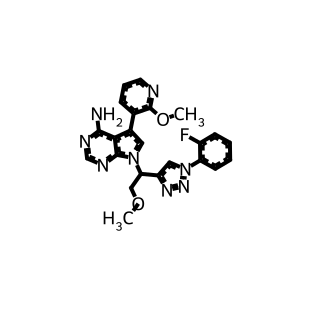 COCC(c1cn(-c2ccccc2F)nn1)n1cc(-c2cccnc2OC)c2c(N)ncnc21